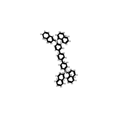 C1=Cc2cc(N(c3ccc(-c4ccc(-c5ccc(N(c6ccc7ccccc7c6)c6cccc7ccccc67)cc5)cc4)cc3)c3cccc4ccccc34)ccc2CC1